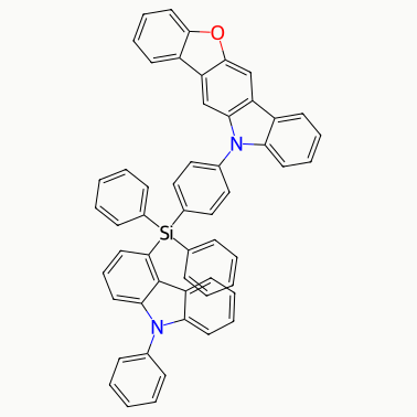 c1ccc(-n2c3ccccc3c3c([Si](c4ccccc4)(c4ccccc4)c4ccc(-n5c6ccccc6c6cc7oc8ccccc8c7cc65)cc4)cccc32)cc1